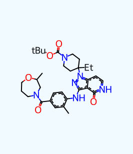 CCC1(n2nc(Nc3ccc(C(=O)N4CCCOC(C)C4)cc3C)c3c(=O)[nH]ccc32)CCN(C(=O)OC(C)(C)C)CC1